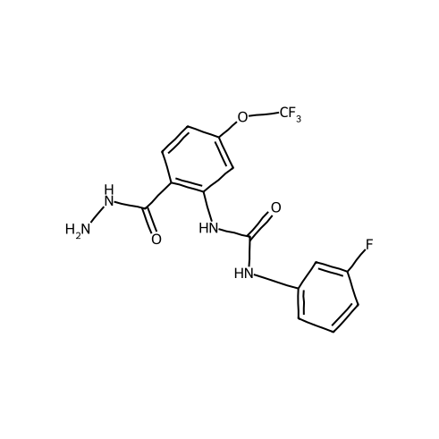 NNC(=O)c1ccc(OC(F)(F)F)cc1NC(=O)Nc1cccc(F)c1